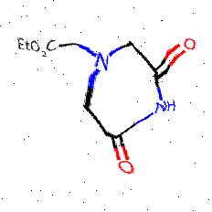 CCOC(=O)N1CC(=O)NC(=O)C1